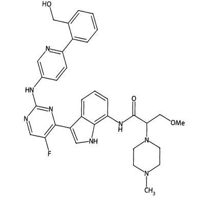 COCC(C(=O)Nc1cccc2c(-c3nc(Nc4ccc(-c5ccccc5CO)nc4)ncc3F)c[nH]c12)N1CCN(C)CC1